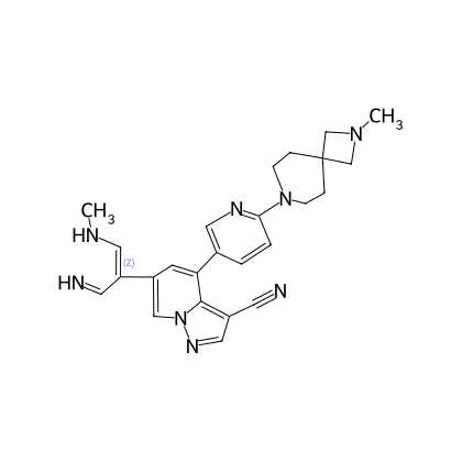 CN/C=C(\C=N)c1cc(-c2ccc(N3CCC4(CC3)CN(C)C4)nc2)c2c(C#N)cnn2c1